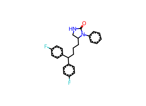 O=C1NCC(CCCC(c2ccc(F)cc2)c2ccc(F)cc2)N1c1ccccc1